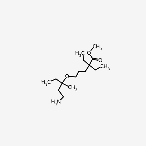 CCC(C)(CCN)OCCCC(CC)(CC)C(=O)OC